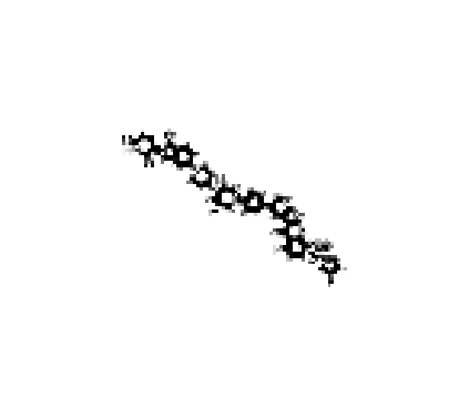 O=C1CCC(N2Cc3cc(N4CCC(N5C[C@@H]6C[C@H]5CN(c5ccc(-c7cnc8[nH]cc(C(=O)c9c(F)ccc(NS(=O)(=O)N%10CC[C@@H](F)C%10)c9F)c8c7)cc5)C6)CC4)ccc3C2=O)C(=O)N1